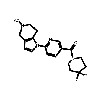 CC(=O)N1CCc2c(ccn2-c2ccc(C(=O)N3CCC(F)(F)CC3)cn2)C1